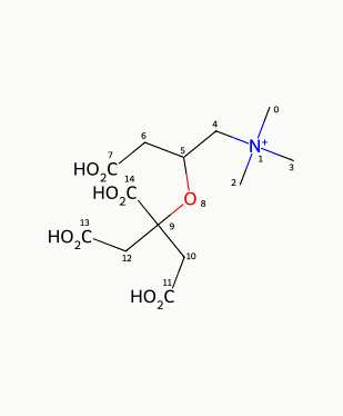 C[N+](C)(C)CC(CC(=O)O)OC(CC(=O)O)(CC(=O)O)C(=O)O